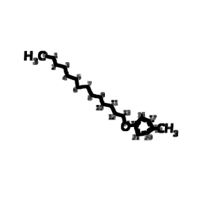 CCCCCCCCCCCCCCOc1c[c]c(C)cc1